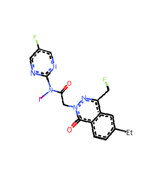 CCc1ccc2c(=O)n(CC(=O)N(I)c3ncc(F)cn3)nc(CF)c2c1